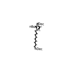 CCCCCCCCCCCCCCCCCCC[n+]1ccn(CCCCCCCCCC)c1CCCC